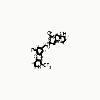 CC12CCCN1c1cc(OCc3cc(F)c(Oc4ccnc(C(F)(F)F)c4)c(F)c3)nc(=O)n1C2